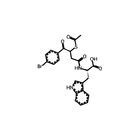 CC(=O)SC(CC(=O)N[C@@H](Cc1c[nH]c2ccccc12)C(=O)O)C(=O)c1ccc(Br)cc1